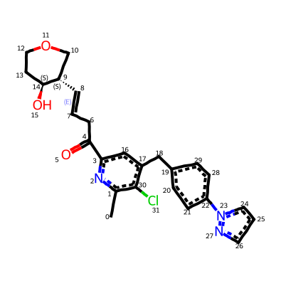 Cc1nc(C(=O)C/C=C/[C@H]2COCC[C@@H]2O)cc(Cc2ccc(-n3cccn3)cc2)c1Cl